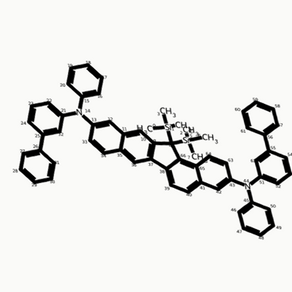 C[Si](C)(C)C1([Si](C)(C)C)c2cc3cc(N(c4ccccc4)c4cccc(-c5ccccc5)c4)ccc3cc2-c2ccc3cc(N(c4ccccc4)c4cccc(-c5ccccc5)c4)ccc3c21